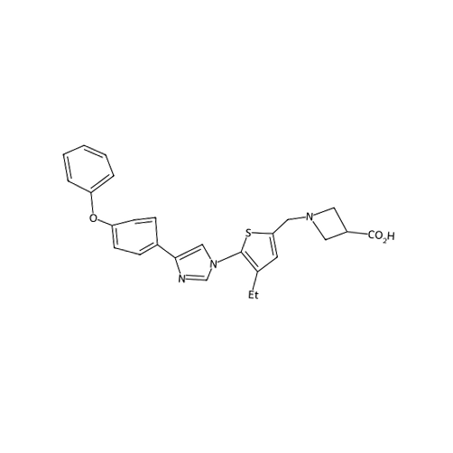 CCc1cc(CN2CC(C(=O)O)C2)sc1-n1cnc(-c2ccc(Oc3ccccc3)cc2)c1